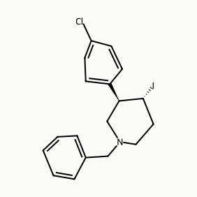 Clc1ccc([C@@H]2CN(Cc3ccccc3)CC[C@H]2I)cc1